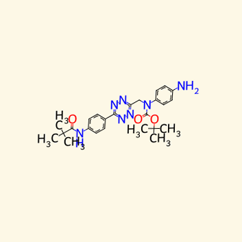 CC(C)(C)OC(=O)N(Cc1nnc(-c2ccc(NC(=O)C(C)(C)C)cc2)nn1)c1ccc(N)cc1